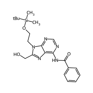 CC(C)(C)[Si](C)(C)OCCn1c(CO)nc2c(NC(=O)c3ccccc3)ncnc21